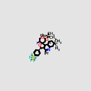 CC(C)c1nc2c(c3c1[C@@H](c1ccc(S(F)(F)(F)(F)F)cc1)OC31CCOCC1I)[C@@H](O[Si](C)(C)C(C)(C)C)CC(C)(C)C2